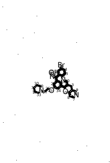 O=c1c(Cc2cccnc2)cn2c3ccc(Br)cc3c(=NO)c3cc(OCCN4CCCCC4)cc1c32